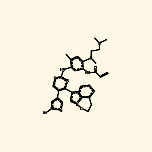 C=CC(=O)Nc1cc(Nc2ncc(-c3cnn(CC)c3)c(-c3cn4c5c(cccc35)CCC4)n2)c(C)cc1N(C)CCN(C)C